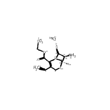 C=CC1=C(C(=O)OCC(Cl)(Cl)Cl)N2C(=O)[C@@H](N)[C@H]2SC1.Cl